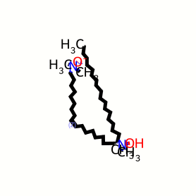 CCCCCCCC/C=C\CCCCCCCC[N+](C)(C)[O-].CCCCCCCCCCCCCCCCCCCN(C)O